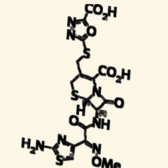 CON=C(C(=O)N[C@@H]1C(=O)N2C(C(=O)O)=C(CSc3nnc(C(=O)O)o3)CS[C@@H]12)c1csc(N)n1